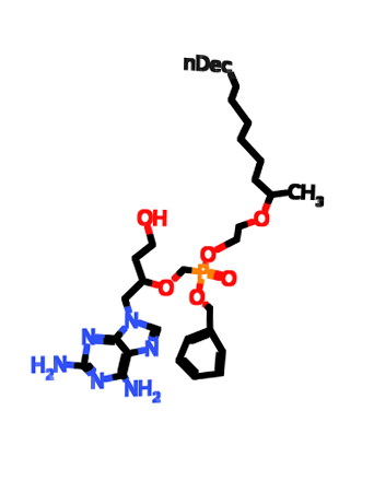 CCCCCCCCCCCCCCCCC(C)OCCOP(=O)(COC(CCO)Cn1cnc2c(N)nc(N)nc21)OCc1ccccc1